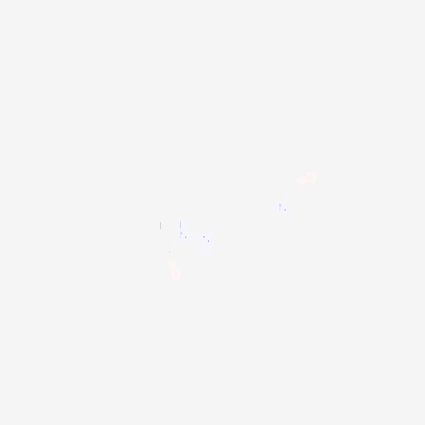 CCCN1C(=O)C(C)c2ccc(NNC(=O)C(C)(C)C)cc21